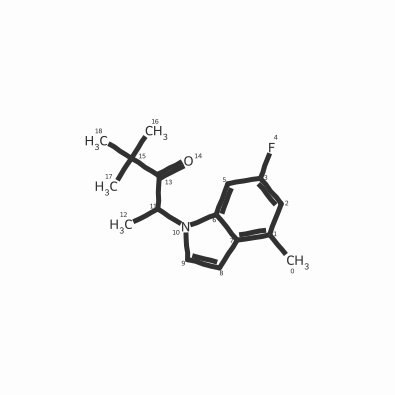 Cc1cc(F)cc2c1ccn2C(C)C(=O)C(C)(C)C